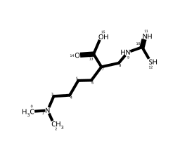 CN(C)CCCCC(CNC(=N)S)C(=O)O